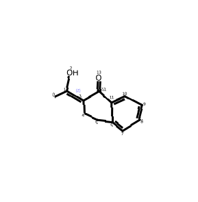 C/C(O)=C1\CCc2ccccc2C1=O